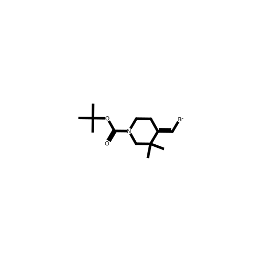 CC(C)(C)OC(=O)N1CC/C(=C\Br)C(C)(C)C1